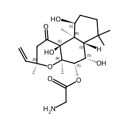 C=C[C@@]1(C)CC(=O)[C@]2(O)[C@@]3(C)[C@@H](O)CCC(C)(C)[C@@H]3[C@H](O)[C@H](OC(=O)CN)[C@@]2(C)O1